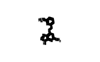 Nc1cccc(CSc2cc(N)nc3[nH]nnc23)n1